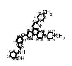 CN1CCN(c2ccc(-c3cc(Oc4ccc5nc(N[C@@H]6CCCC[C@H]6O)sc5c4)cnc3-c3ccc(N4CCN(C)CC4)nc3)cn2)CC1